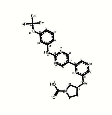 O=C(O)N1CC[C@H](Nc2cncc(-c3cnc(Nc4cccc(OC(F)(F)F)c4)nc3)n2)C1